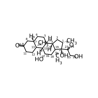 C[C@H]1C[C@H]2[C@@H]3CC[C@H]4CC(=O)CC[C@]4(C)[C@H]3[C@@H](O)C[C@]2(C)[C@@]1(O)C(=O)CO